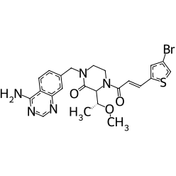 CO[C@H](C)C1C(=O)N(Cc2ccc3c(N)ncnc3c2)CCN1C(=O)/C=C/c1cc(Br)cs1